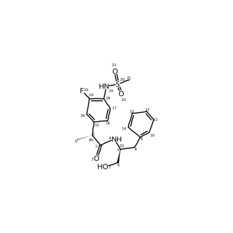 C[C@@H](C(=O)N[C@H](CO)Cc1ccccc1)c1ccc(NS(C)(=O)=O)c(F)c1